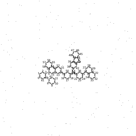 c1ccc(-c2c(-c3ccccc3)c3cc(-c4cccc(N(c5cccc(-c6cccc7ccccc67)c5)c5ccc6c(c5)sc5ccccc56)c4)ccc3c3ccccc23)cc1